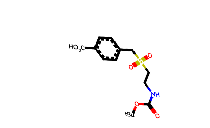 CC(C)(C)OC(=O)NCCS(=O)(=O)Cc1ccc(C(=O)O)cc1